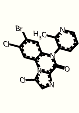 Cc1ncccc1-n1c(=O)c2ncc(Cl)n2c2cc(Cl)c(Br)cc21